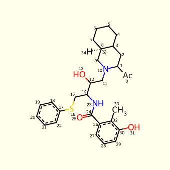 CC(=O)C1CC2CCCC[C@@H]2CN1CC(O)C(CSc1ccccc1)NC(=O)c1cccc(O)c1C